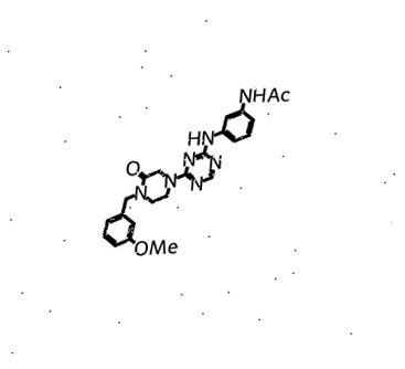 COc1cccc(CN2CCN(c3ncnc(Nc4cccc(NC(C)=O)c4)n3)CC2=O)c1